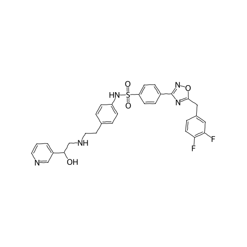 O=S(=O)(Nc1ccc(CCNCC(O)c2cccnc2)cc1)c1ccc(-c2noc(Cc3ccc(F)c(F)c3)n2)cc1